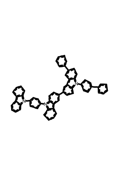 c1ccc(-c2ccc(-n3c4ccc(-c5ccccc5)cc4c4cc(-c5ccc6c(c5)c5ccccc5n6-c5ccc(-n6c7ccccc7c7ccccc76)cc5)ccc43)cc2)cc1